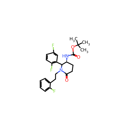 CC(C)(C)OC(=O)N[C@H]1CCC(=O)N(CCc2ccccc2F)C1c1cc(F)ccc1F